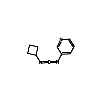 C(=Nc1cccnc1)=NC1CCC1